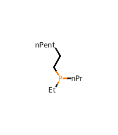 CCCCCCCP(CC)CCC